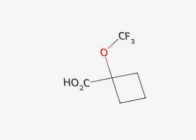 O=C(O)C1(OC(F)(F)F)CCC1